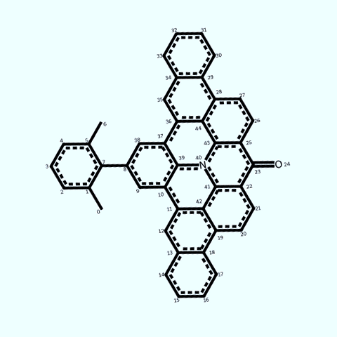 Cc1cccc(C)c1-c1cc2c3cc4ccccc4c4ccc5c(=O)c6ccc7c8ccccc8cc8c(c1)c2n(c5c43)c6c78